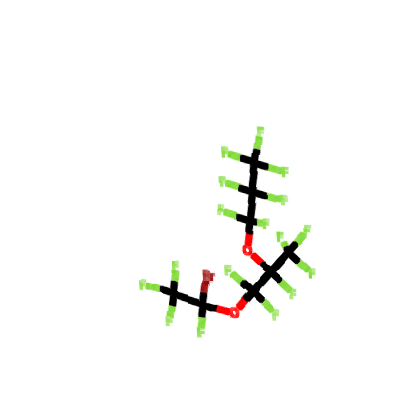 FC(F)(F)C(F)(Br)OC(F)(F)C(F)(OC(F)(F)C(F)(F)C(F)(F)F)C(F)(F)F